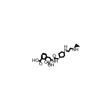 O=C(C[C@H]1CC[C@H](NCCNC2CC2)CC1)N[C@H]1Cc2cccc(C(=O)O)c2OB1O